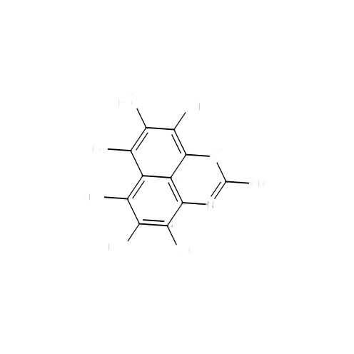 CC1=Nc2c(C)c(C)c(C)c3c(C)c(C)c(C)c(c23)S1